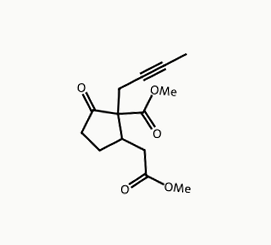 CC#CCC1(C(=O)OC)C(=O)CCC1CC(=O)OC